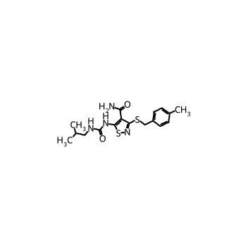 Cc1ccc(CSc2nsc(NC(=O)NCC(C)C)c2C(N)=O)cc1